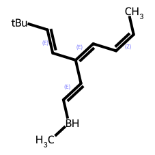 CB/C=C/C(/C=C/C(C)(C)C)=C\C=C/C